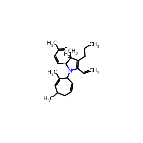 C=CC1=C(CCC)C(C)[C@H](/C=C\C(=C)C)N1C1C=CCC(C)C=C1C